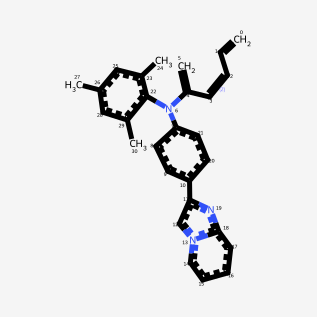 C=C/C=C\C(=C)N(c1ccc(-c2cn3ccccc3n2)cc1)c1c(C)cc(C)cc1C